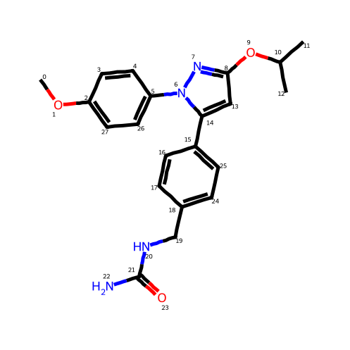 COc1ccc(-n2nc(OC(C)C)cc2-c2ccc(CNC(N)=O)cc2)cc1